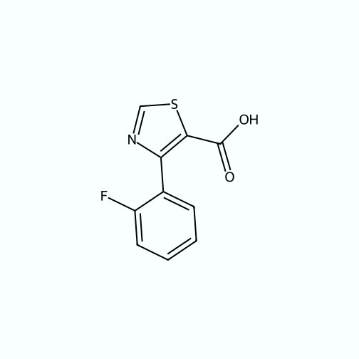 O=C(O)c1scnc1-c1ccccc1F